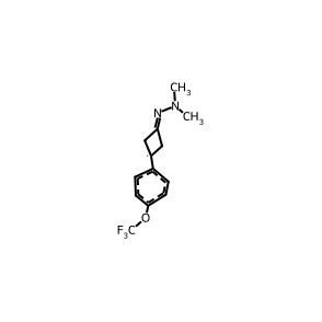 CN(C)N=C1C[C](c2ccc(OC(F)(F)F)cc2)C1